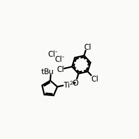 CC(C)(C)C1=CC=C[CH]1[Ti+2][O]c1c(Cl)cc(Cl)cc1Cl.[Cl-].[Cl-]